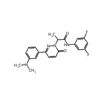 CC(C(=O)Nc1cc(F)cc(F)c1)n1nc(-c2cccc(N(C)C)c2)ccc1=O